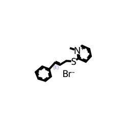 C[n+]1ccccc1SC/C=C/c1ccccc1.[Br-]